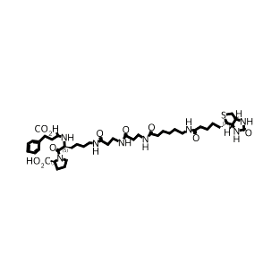 O=C(CCCC[C@@H]1SC[C@@H]2NC(=O)N[C@@H]21)NCCCCCC(=O)NCCC(=O)NCCC(=O)NCCCC[C@H](NC(CCc1ccccc1)C(=O)O)C(=O)N1CCC[C@H]1C(=O)O